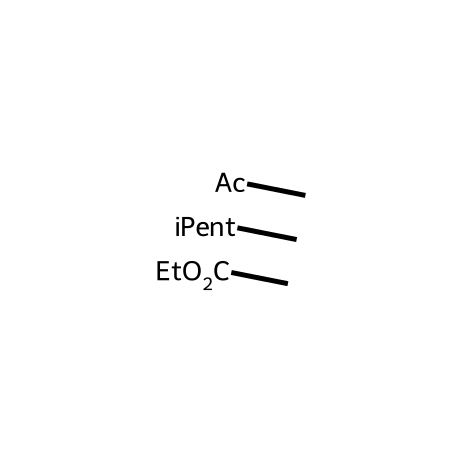 CC(C)=O.CCCC(C)C.CCOC(C)=O